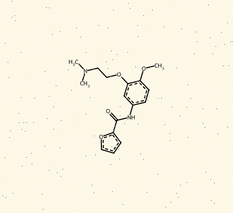 COc1ccc(NC(=O)c2ccco2)cc1OCCN(C)C